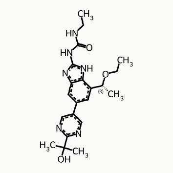 CCNC(=O)Nc1nc2cc(-c3cnc(C(C)(C)O)nc3)cc([C@@H](C)OCC)c2[nH]1